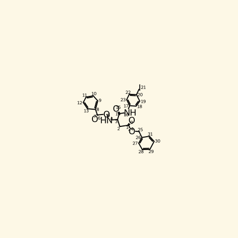 O=C(CC(NOC(=O)c1ccccc1)C(=O)Nc1ccc(I)cc1)OCc1ccccc1